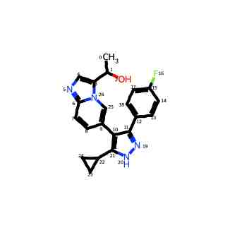 CC(O)c1cnc2ccc(-c3c(-c4ccc(F)cc4)n[nH]c3C3CC3)cn12